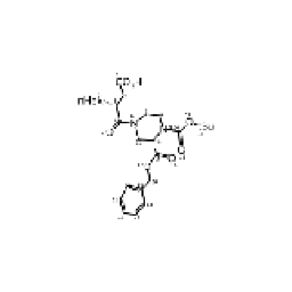 CCCCCC[C@H](CC(=O)O)C(=O)N1CCN(C(=O)OC(C)(C)C)[C@H](C(=O)OCc2ccccc2)C1